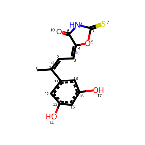 C/C(=C/C=C1/OC(=S)NC1=O)c1cc(O)cc(O)c1